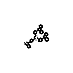 c1ccc2c(c#1)cc(-c1cccc(-c3cc(-c4ccc(-c5cncc6ccccc56)cc4)nc(-c4cccc(-c5cc6ccccc6c6ccccc56)c4)n3)c1)c1ccccc12